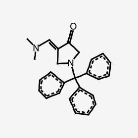 CN(C)/C=C1\CN(C(c2ccccc2)(c2ccccc2)c2ccccc2)CC1=O